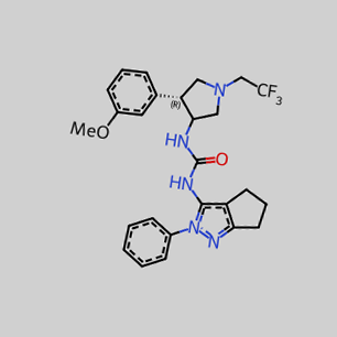 COc1cccc([C@@H]2CN(CC(F)(F)F)CC2NC(=O)Nc2c3c(nn2-c2ccccc2)CCC3)c1